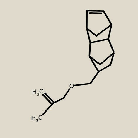 C=C(C)COCC1CC2CC1C1C3C=CC(C3)C21